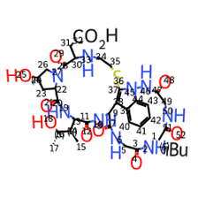 CC[C@H](C)C1NC(=O)CNC(=O)C2NC(=O)C([C@@H](C)[C@H](C)O)NC(=O)C3C[C@@H](O)CN3C(=O)C(CC(=O)O)NCCSc3c2c2ccccc2n3NC(=O)CNC1=O